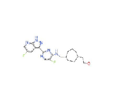 O=CCC1CCCC(CNc2nc(-c3n[nH]c4ncc(F)cc34)ncc2F)CC1